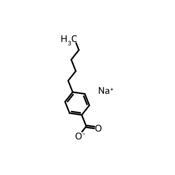 CCCCCc1ccc(C(=O)[O-])cc1.[Na+]